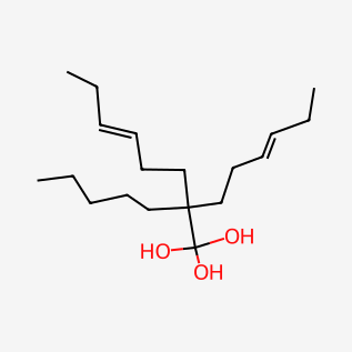 CCC=CCCC(CCC=CCC)(CCCCC)C(O)(O)O